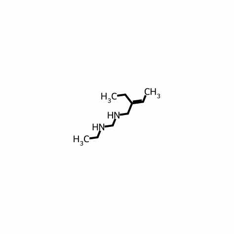 C/C=C(\CC)CNCNCC